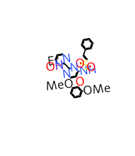 CCO.COc1ccccc1Oc1c(NS(=O)(=O)C=Cc2ccccc2)nc(-c2ncccn2)nc1OC